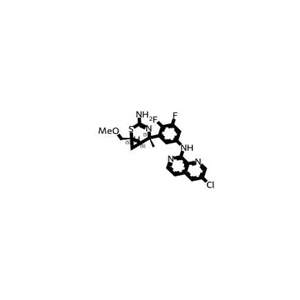 COC[C@]12C[C@H]1[C@@](C)(c1cc(Nc3nccc4cc(Cl)cnc34)cc(F)c1F)N=C(N)S2